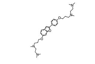 CN(C)CCN(C)CCCOc1ccc(-c2cc3ccc(OCCCN(C)CCN(C)C)cc3o2)cc1